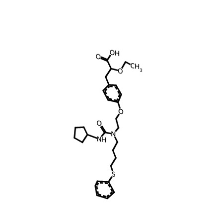 CCOC(Cc1ccc(OCCN(CCCCSc2ccccc2)C(=O)NC2CCCC2)cc1)C(=O)O